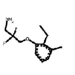 CCc1c(C)cccc1OCC(F)(F)CN